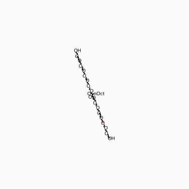 CCCCCCCCC(C(=O)OCCOCCOCCOCCOCCOCCOCCOCCO)C(=O)OCCOCCOCCOCCOCCOCCOCCOCCO